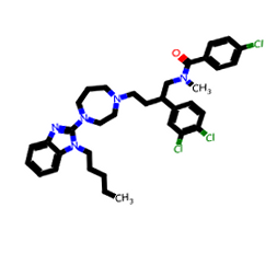 CCCCCn1c(N2CCCN(CCC(CN(C)C(=O)c3ccc(Cl)cc3)c3ccc(Cl)c(Cl)c3)CC2)nc2ccccc21